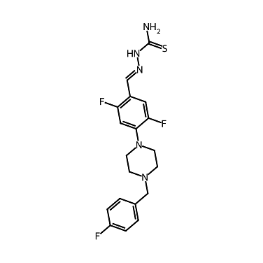 NC(=S)NN=Cc1cc(F)c(N2CCN(Cc3ccc(F)cc3)CC2)cc1F